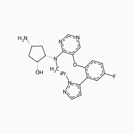 CC(C)n1nccc1-c1cc(F)ccc1Oc1cncnc1N(C)[C@H]1C[C@@H](N)C[C@H]1O